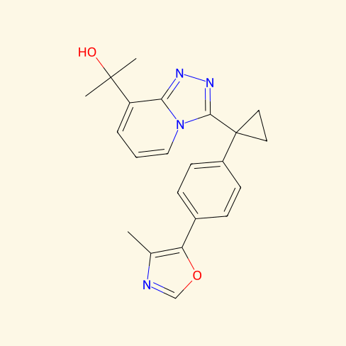 Cc1ncoc1-c1ccc(C2(c3nnc4c(C(C)(C)O)cccn34)CC2)cc1